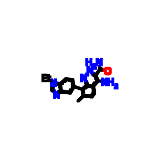 CCn1cnc2cc(-c3c(C)ccc4c(N)c(C(N)=O)nnc34)ccc21